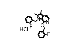 Cc1c(C)n(Cc2ccccc2F)c2c(OCc3ccccc3F)nccc12.Cl